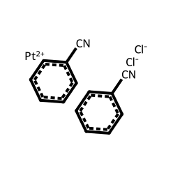 N#Cc1ccccc1.N#Cc1ccccc1.[Cl-].[Cl-].[Pt+2]